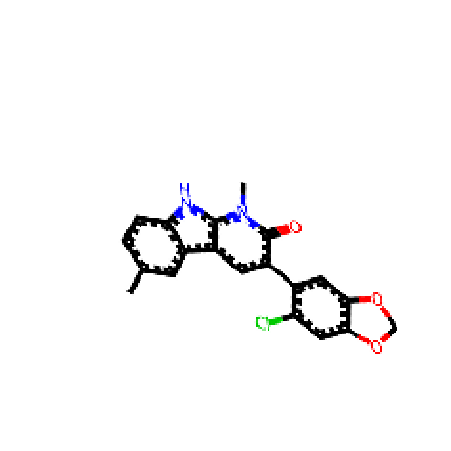 Cc1ccc2[nH]c3c(cc(-c4cc5c(cc4Cl)OCO5)c(=O)n3C)c2c1